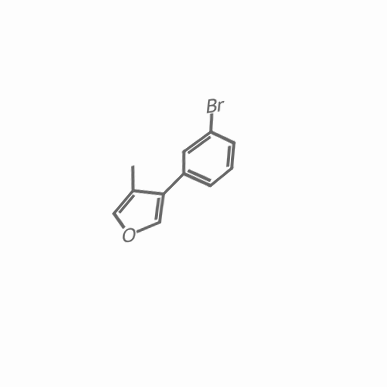 Cc1cocc1-c1cccc(Br)c1